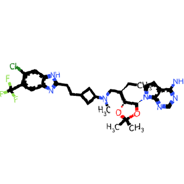 CC[C@H](CN(C)C1CC(CCc2nc3cc(C(F)(F)F)c(Cl)cc3[nH]2)C1)[C@H]1OC(C)(C)O[C@H]1n1ccc2c(N)ncnc21